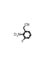 N#CCc1cccc(F)c1[N+](=O)[O-]